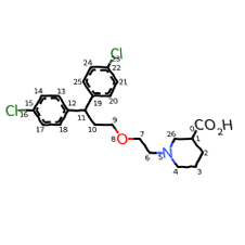 O=C(O)C1CCCN(CCOCCC(c2ccc(Cl)cc2)c2ccc(Cl)cc2)C1